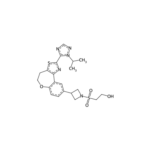 CC(C)n1ncnc1-c1nc2c(s1)CCOc1ccc(C3CN(S(=O)(=O)CCO)C3)cc1-2